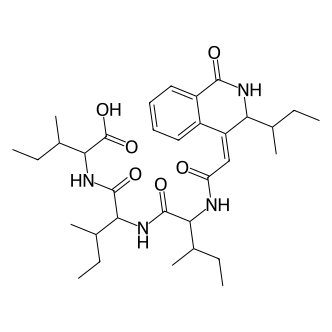 CCC(C)C(NC(=O)C(NC(=O)C(NC(=O)C=C1c2ccccc2C(=O)NC1C(C)CC)C(C)CC)C(C)CC)C(=O)O